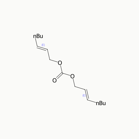 CCCC/C=C/COC(=O)OC/C=C/CCCC